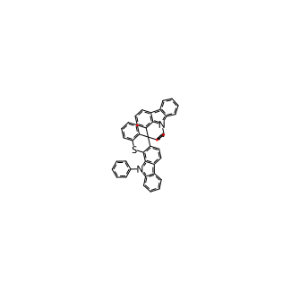 c1ccc(-n2c3ccccc3c3ccc4c(c32)Sc2ccccc2C42c3ccccc3-n3c4ccccc4c4cccc2c43)cc1